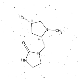 CN1C[C@@H](S)C[C@H]1CN1CCNC1=O